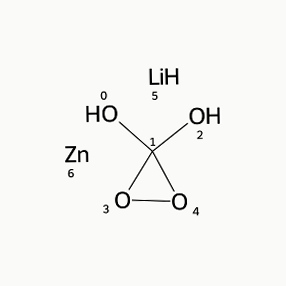 OC1(O)OO1.[LiH].[Zn]